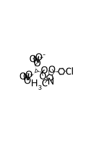 Cc1ncc2c(c1OC(=O)[C@H]1[C@H](CO[N+](=O)[O-])[C@@H]1CO[N+](=O)[O-])CO[C@H]2c1ccc(Cl)cc1